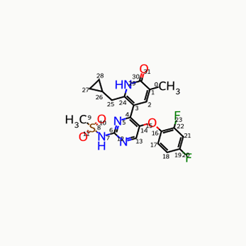 Cc1cc(-c2nc(NS(C)(=O)=O)ncc2Oc2ccc(F)cc2F)c(CC2CC2)[nH]c1=O